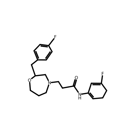 O=C(CCN1CCCOC(Cc2ccc(F)cc2)C1)NC1=CCCC(F)=C1